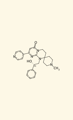 CN1CCC2(CC1)CCn1c(nc(-c3ccncc3)cc1=O)N2C[C@@H](O)c1ccccc1